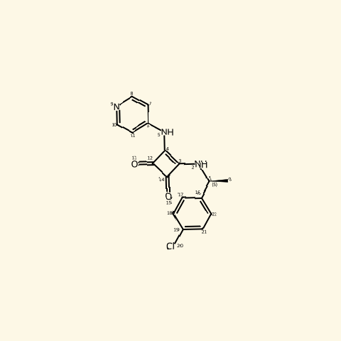 C[C@H](Nc1c(Nc2ccncc2)c(=O)c1=O)c1ccc(Cl)cc1